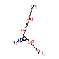 CCCCCCCC(=O)OCCCCCC(=O)OCc1cc(COC(=O)CCCCCOC)cc(CN(C)C)c1